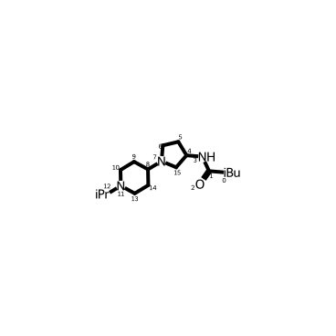 CCC(C)C(=O)NC1CCN(C2CCN(C(C)C)CC2)C1